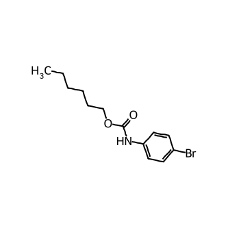 CCCCCCOC(=O)Nc1ccc(Br)cc1